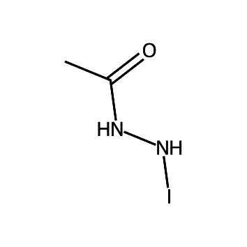 CC(=O)NNI